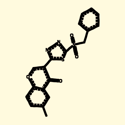 Cc1ccc2occ(-c3nnc(S(=O)(=O)Cc4ccccc4)s3)c(=O)c2c1